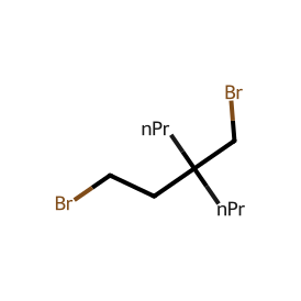 CCCC(CBr)(CCC)CCBr